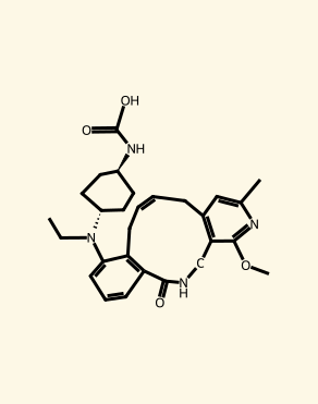 CCN(c1cccc2c1CC=CCc1cc(C)nc(OC)c1CNC2=O)[C@H]1CC[C@H](NC(=O)O)CC1